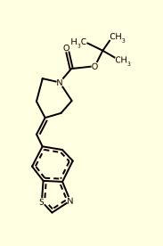 CC(C)(C)OC(=O)N1CCC(=Cc2ccc3ncsc3c2)CC1